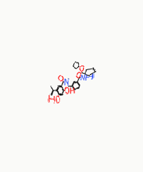 C=C(C)c1cc(C(=O)N(C)Cc2cccc(CNC3(C(=O)OC4CCCC4)CCCC3)c2)c(O)cc1O